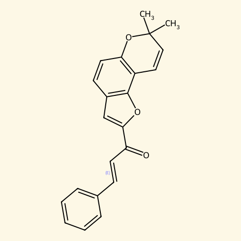 CC1(C)C=Cc2c(ccc3cc(C(=O)/C=C/c4ccccc4)oc23)O1